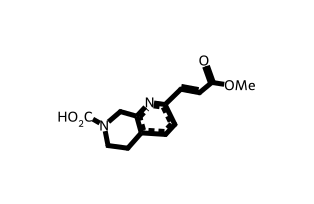 COC(=O)C=Cc1ccc2c(n1)CN(C(=O)O)CC2